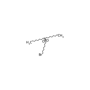 CCCCCCCCN(CCCCCCCC)S(=O)(=O)CCCCCCCBr